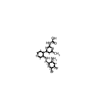 Cc1cc(-c2ccncc2NCc2nc(Br)c(F)cc2N)nc(NC(=O)O)n1